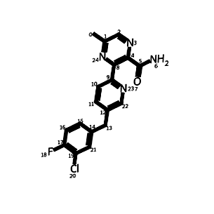 Cc1cnc(C(N)=O)c(-c2ccc(Cc3ccc(F)c(Cl)c3)cn2)n1